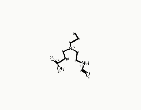 CCCN(CCNC=O)CCC(=O)O